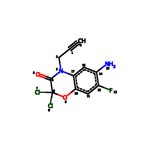 C#CCN1C(=O)C(Cl)(Cl)Oc2cc(F)c(N)cc21